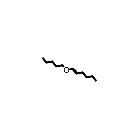 CCCC/C=C/OCCCCC